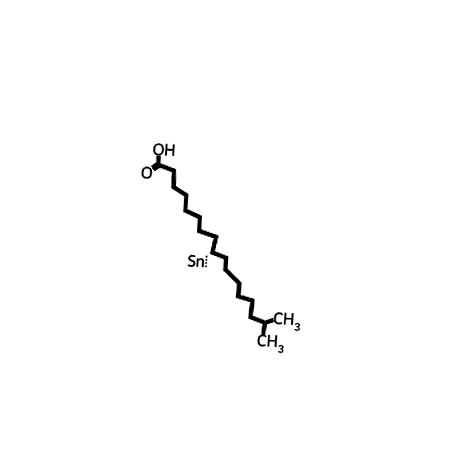 CC(C)CCCCCCCCCCCCCCC(=O)O.[Sn]